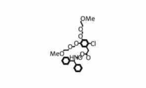 COCCOCOc1cc(Cl)c(CC(=O)OONC(c2ccccc2)c2ccccc2)cc1OCOCCOC